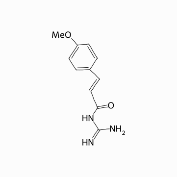 COc1ccc(C=CC(=O)NC(=N)N)cc1